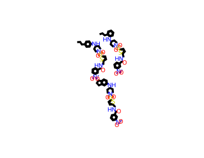 CCCc1ccc(NC2CCN(S(=O)(=O)c3ccc(CNC(=O)c4cccc([N+](=O)[O-])c4)s3)CC2)cc1.CCCc1ccccc1NC1CCN(S(=O)(=O)c2ccc(CNC(=O)c3cccc([N+](=O)[O-])c3)s2)CC1.O=C(NCc1ccc(S(=O)(=O)N2CCC(Nc3ccc4c(c3)CCC4)CC2)s1)c1cccc([N+](=O)[O-])c1